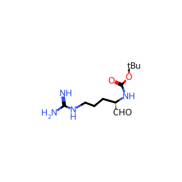 CC(C)(C)OC(=O)N[C@H](C=O)CCCNC(=N)N